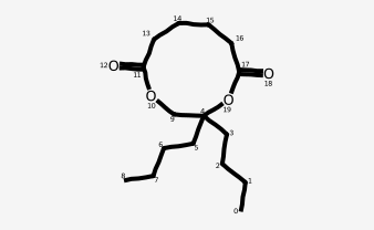 CCCCC1(CCCC)COC(=O)CCCCC(=O)O1